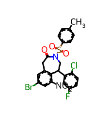 Cc1ccc(S(=O)(=O)N2CC(c3cc(F)ccc3Cl)c3c(cc(Br)cc3[N+](=O)[O-])CC2=O)cc1